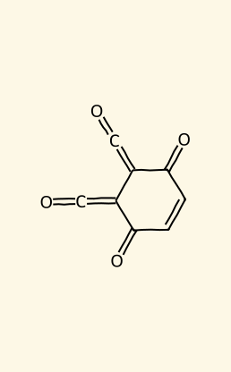 O=C=C1C(=O)C=CC(=O)C1=C=O